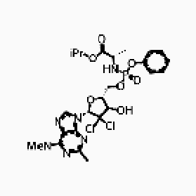 CNc1nc(C)nc2c1ncn2[C@@H]1O[C@H](CO[P@@](=O)(N[C@@H](C)C(=O)OC(C)C)Oc2ccccc2)[C@@H](O)C1(Cl)Cl